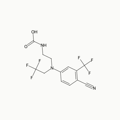 N#Cc1ccc(N(CCNC(=O)O)CC(F)(F)F)cc1C(F)(F)F